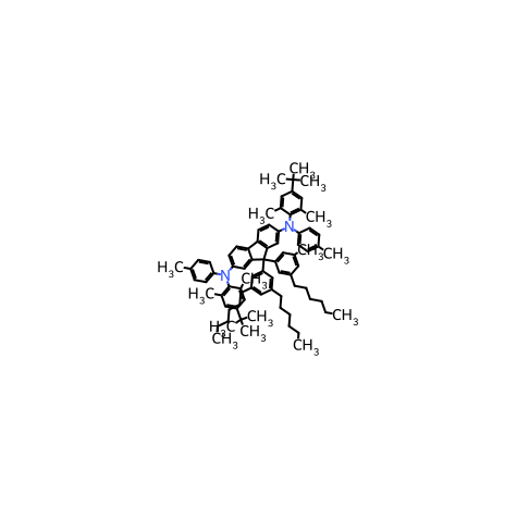 CCCCCCc1cc(C)cc(C2(c3cc(CCCCCC)cc(CCCCCC)c3)c3cc(N(c4ccc(C)cc4)c4c(C)cc(C(C)(C)C)cc4C)ccc3-c3ccc(N(c4ccc(C)cc4)c4c(C)cc(C(C)(C)C)cc4C)cc32)c1